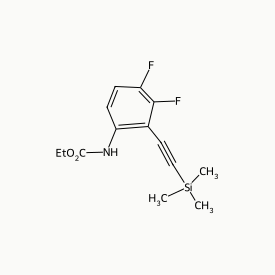 CCOC(=O)Nc1ccc(F)c(F)c1C#C[Si](C)(C)C